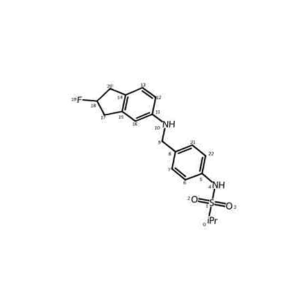 CC(C)S(=O)(=O)Nc1ccc(CNc2ccc3c(c2)CC(F)C3)cc1